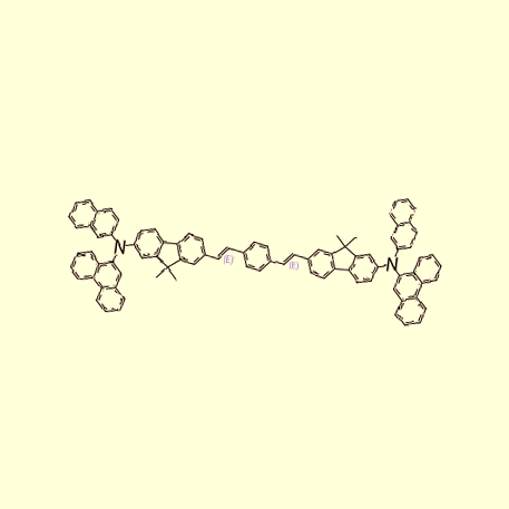 CC1(C)c2cc(/C=C/c3ccc(/C=C/c4ccc5c(c4)C(C)(C)c4cc(N(c6ccc7ccccc7c6)c6cc7ccccc7c7ccccc67)ccc4-5)cc3)ccc2-c2ccc(N(c3ccc4ccccc4c3)c3cc4ccccc4c4ccccc34)cc21